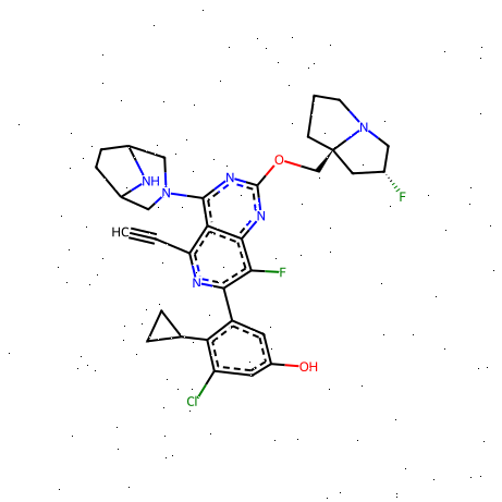 C#Cc1nc(-c2cc(O)cc(Cl)c2C2CC2)c(F)c2nc(OC[C@@]34CCCN3C[C@H](F)C4)nc(N3CC4CCC(C3)N4)c12